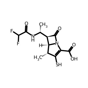 C[C@@H](NC(=O)C(F)F)[C@H]1C(=O)N2C(C(=O)O)=C(S)[C@H](C)[C@@H]12